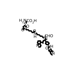 C/C(=C\C(=N/N(C=O)CCCCCCNC(=O)CCCCCN1C(=O)CC(SCC(N)C(=O)O)C1=O)c1ccc(NC(=O)N2Cc3ccncc3C2)cc1)c1cccc2ncccc12